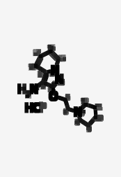 Cl.Nc1c(OCCN2CCCCC2)nn2ccccc12